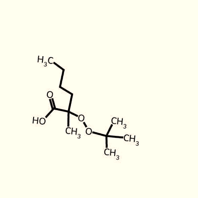 CCCCC(C)(OOC(C)(C)C)C(=O)O